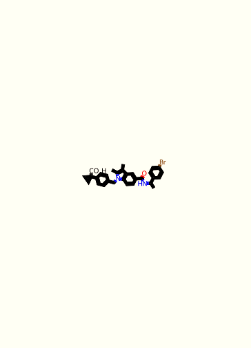 Cc1c(C)n(Cc2ccc(C3(C(=O)O)CC3)cc2)c2ccc(C(=O)NC(C)c3ccc(Br)cc3)cc12